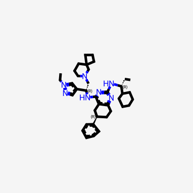 CC[C@@H](Nc1nc2c(c(N[C@@H](CN3CCCC4(CCC4)C3)c3cnn(CC)c3)n1)C[C@H](c1ccccc1)CC2)C1CCCCC1